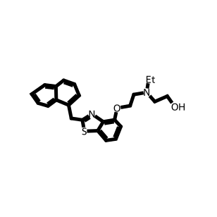 CCN(CCO)CCOc1cccc2sc(Cc3cccc4ccccc34)nc12